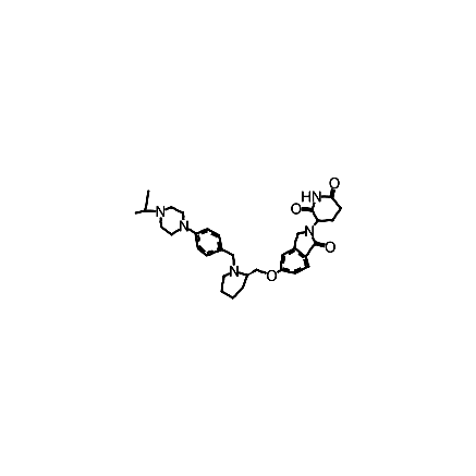 CC(C)N1CCN(c2ccc(CN3CCCC[C@@H]3COc3ccc4c(c3)CN(C3CCC(=O)NC3=O)C4=O)cc2)CC1